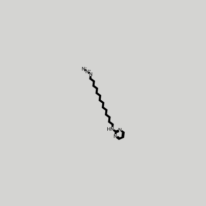 [N-]=[N+]=NCCCCCCCCCCCCCCNc1ncccn1